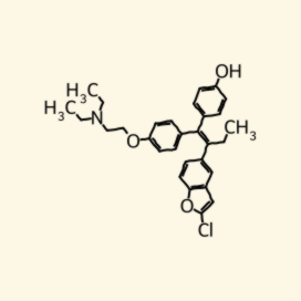 CC/C(=C(\c1ccc(O)cc1)c1ccc(OCCN(CC)CC)cc1)c1ccc2oc(Cl)cc2c1